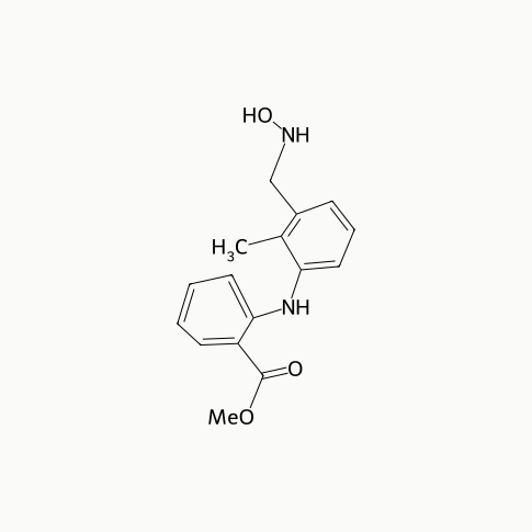 COC(=O)c1ccccc1Nc1cccc(CNO)c1C